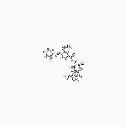 COc1cc(C(=O)CC[C@H](NC(=O)OC(C)(C)C)C(=O)O)ccc1OCc1ccccc1F